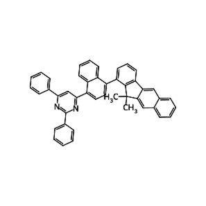 CC1(C)c2cc3ccccc3cc2-c2cccc(-c3ccc(-c4cc(-c5ccccc5)nc(-c5ccccc5)n4)c4ccccc34)c21